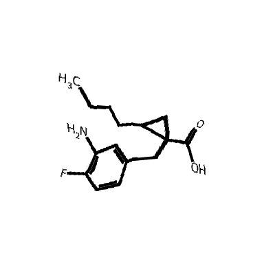 CCCCC1CC1(Cc1ccc(F)c(N)c1)C(=O)O